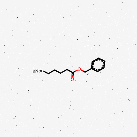 CCCCCCCCCCCCCC(=O)OCc1ccccc1